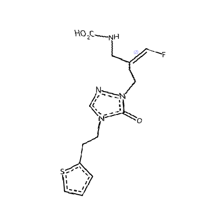 O=C(O)NC/C(=C/F)Cn1ncn(CCc2cccs2)c1=O